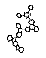 c1ccc(-c2nc(-c3ccccc3)nc(-c3ccc4c5ccccc5c5ccc(-n6c7ccccc7c7cc(-n8c9ccccc9c9cc%10sc%11ccccc%11c%10cc98)ccc76)cc5c4c3)n2)cc1